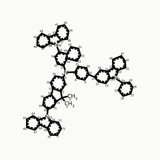 CC1(C)c2cc(N(c3ccc(-c4ccc5c(c4)c4ccccc4n5-c4ccccc4)cc3)c3ccc(-n4c5ccccc5c5ccccc54)c4ccccc34)ccc2-c2ccc(-n3c4ccccc4c4ccccc43)cc21